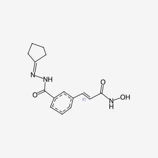 O=C(/C=C/c1cccc(C(=O)NN=C2CCCC2)c1)NO